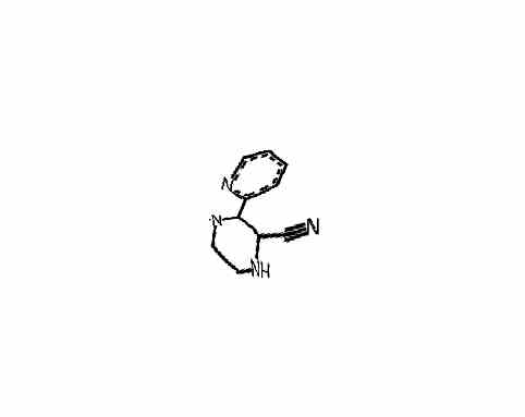 N#CC1NCC[N]C1c1ccccn1